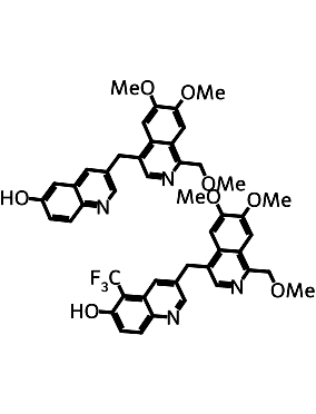 COCc1ncc(Cc2cnc3ccc(O)c(C(F)(F)F)c3c2)c2cc(OC)c(OC)cc12.COCc1ncc(Cc2cnc3ccc(O)cc3c2)c2cc(OC)c(OC)cc12